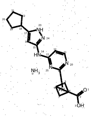 N.O=C(O)C12CC(C1)N(c1nccc(Nc3cc(C4CCCC4)[nH]n3)n1)C2